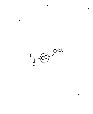 CCOCC12CCC(C(=O)Cl)(CC1)CC2